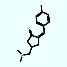 Cc1ccc(C=C2CC(CN(C)C)CC2=O)cc1